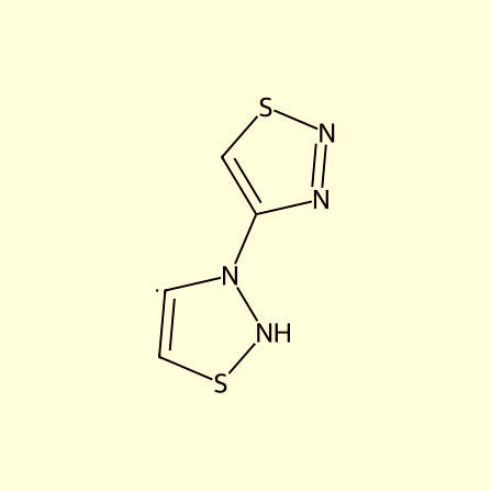 [C]1=CSNN1c1csnn1